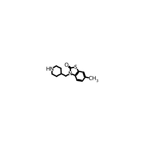 Cc1ccc2c(c1)sc(=O)n2CC1CCNCC1